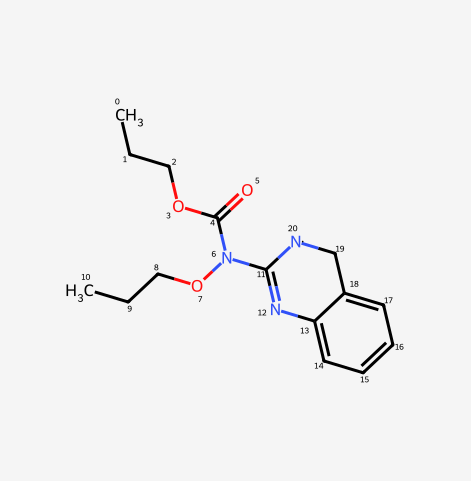 CCCOC(=O)N(OCCC)C1=Nc2ccccc2C[N]1